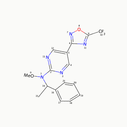 CON(c1ncc(-c2noc(C(F)(F)F)n2)cn1)C(C)c1ccccc1